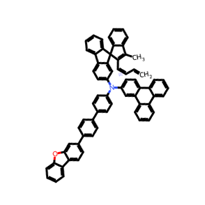 C=C/C=C\C1=C(C)c2ccccc2C12c1ccccc1-c1ccc(N(c3ccc(-c4ccc(-c5ccc6c(c5)oc5ccccc56)cc4)cc3)c3ccc4c5ccccc5c5ccccc5c4c3)cc12